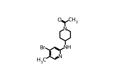 CC(=O)N1CCC(Nc2cc(Br)c(C)cn2)CC1